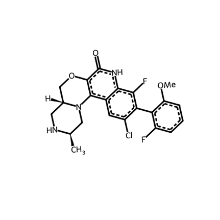 COc1cccc(F)c1-c1c(Cl)cc2c3c(c(=O)[nH]c2c1F)OC[C@H]1CN[C@H](C)CN31